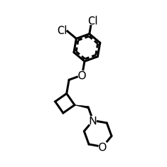 Clc1ccc(OCC2CC[C@@H]2CN2CCOCC2)cc1Cl